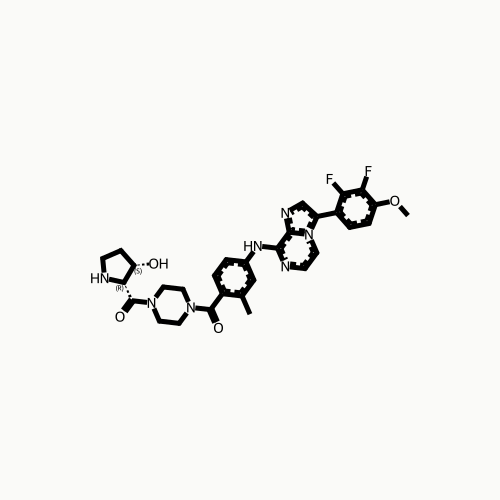 COc1ccc(-c2cnc3c(Nc4ccc(C(=O)N5CCN(C(=O)[C@@H]6NCC[C@@H]6O)CC5)c(C)c4)nccn23)c(F)c1F